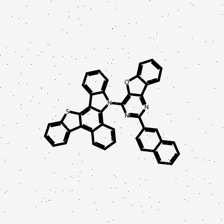 c1ccc2cc(-c3nc(-n4c5ccccc5c5c6sc7ccccc7c6c6ccccc6c54)c4oc5ccccc5c4n3)ccc2c1